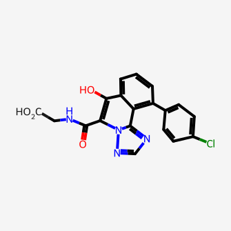 O=C(O)CNC(=O)c1c(O)c2cccc(-c3ccc(Cl)cc3)c2c2ncnn12